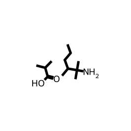 CC(C)C(=O)O.CCCC(C)C(C)(C)N